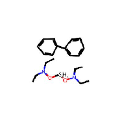 CCN(CC)O[SiH2]ON(CC)CC.c1ccc(-c2ccccc2)cc1